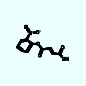 O=C(O)/C=C/C(=O)Oc1ccccc1[N+](=O)[O-]